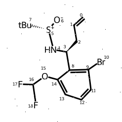 C=CC[C@H](N[S@@+]([O-])C(C)(C)C)c1c(Br)cccc1OC(F)F